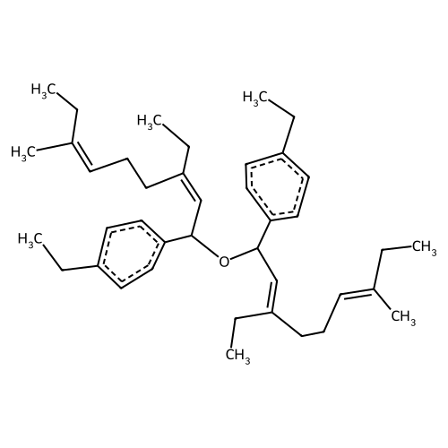 CCC(C)=CCCC(=CC(OC(C=C(CC)CCC=C(C)CC)c1ccc(CC)cc1)c1ccc(CC)cc1)CC